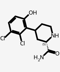 NC(=O)[C@@H]1CC(c2c(O)ccc(Cl)c2Cl)CCN1